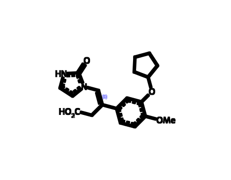 COc1ccc(/C(=C/n2cc[nH]c2=O)CC(=O)O)cc1OC1CCCC1